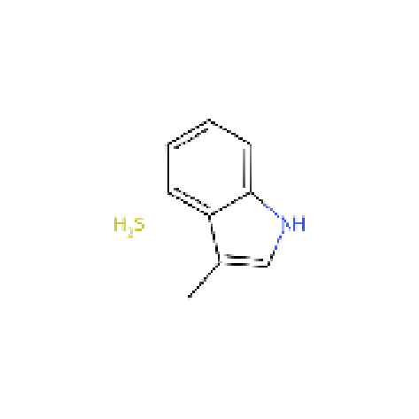 Cc1c[nH]c2ccccc12.S